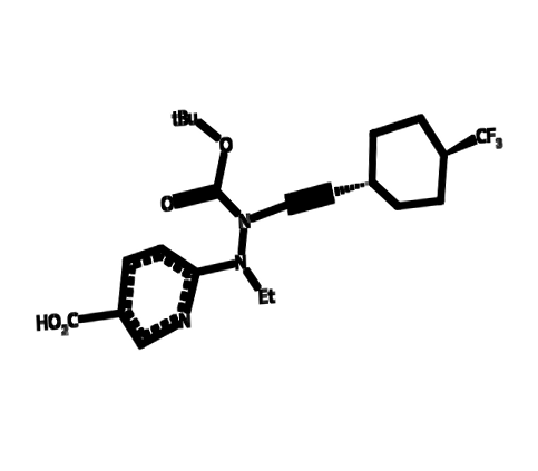 CCN(c1ccc(C(=O)O)cn1)N(C#C[C@H]1CC[C@H](C(F)(F)F)CC1)C(=O)OC(C)(C)C